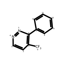 FC(F)(F)c1ccnnc1-c1ccccc1